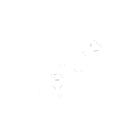 C=C(C1CCN(Cc2ccnnc2)CC1)N1CCC(n2c(OCC)nc3cc(C(C)(C)F)ccc32)CC1